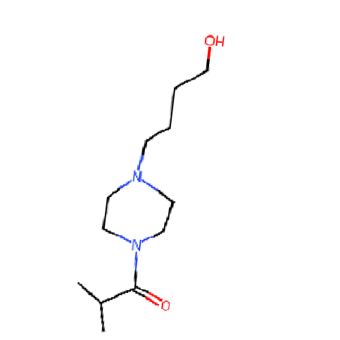 CC(C)C(=O)N1CCN(CCCCO)CC1